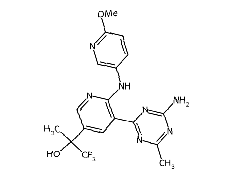 COc1ccc(Nc2ncc(C(C)(O)C(F)(F)F)cc2-c2nc(C)nc(N)n2)cn1